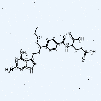 CCOCC(CCc1c[nH]c2nc(N)nc(N)c12)c1ccc(C(=O)NC(CCC(=O)O)C(=O)O)cc1